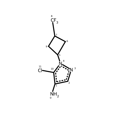 Nc1cnn(C2CC(C(F)(F)F)C2)c1Cl